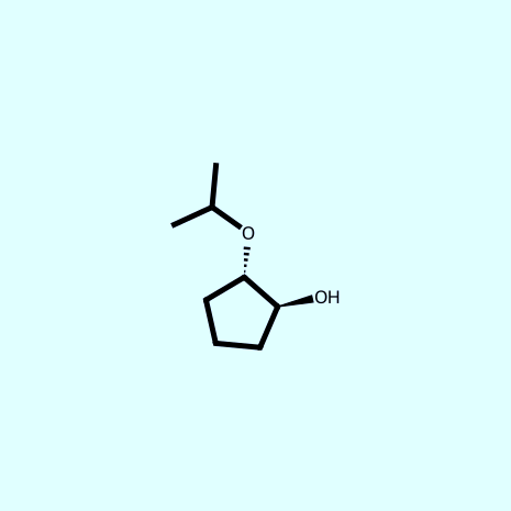 CC(C)O[C@H]1CCC[C@@H]1O